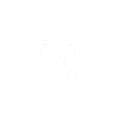 CC1(C)C(C=C(Cl)Cl)C1C(=O)OC(C#N)c1cccc(Oc2ccccc2)c1.CCCC(O)C(CC)CO